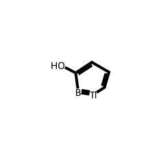 OC1=CC=[CH][Tl]=[B]1